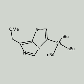 CCC[CH2][Sn]([CH2]CCC)([CH2]CCC)[c]1csc2c(COC)ncn12